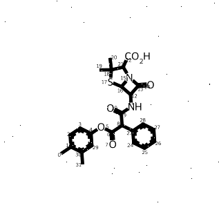 Cc1ccc(OC(=O)C(C(=O)NC2C(=O)N3C2SC(C)(C)C3C(=O)O)c2ccccc2)cc1C